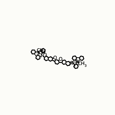 C[Si]1(C)c2ccccc2-c2cccc(N(c3ccccc3)c3ccc4cc5c(cc4c3)oc3c5ccc4c5cc6ccc(N(c7ccccc7)c7cccc8c7[Si](C)(C)c7ccccc7-8)cc6cc5oc43)c21